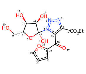 CCOC(=O)c1nnn([C@@]2(O)O[C@H](CO)[C@@H](O)[C@H]2O)c1C(=O)c1ccco1